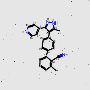 Cc1cccc(-c2ccc(-c3c(-c4ccncc4)n[nH]c3C)cc2)c1C#N